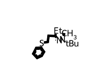 CCC(CCSc1ccccc1)[N]N(C)C(C)(C)C